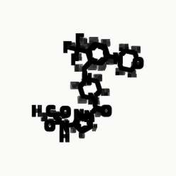 CS(=O)(=O)Nc1ccn(C(=O)N2CCN(Cc3cc(N4CCOCC4)ccc3C(F)(F)F)CC2)n1